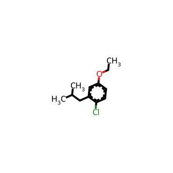 CCOc1ccc(Cl)c(CC(C)C)c1